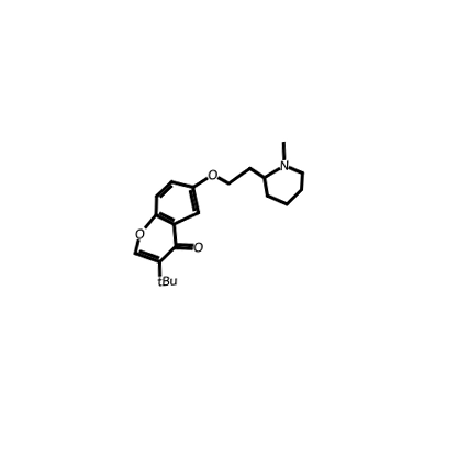 CN1CCCCC1CCOc1ccc2occ(C(C)(C)C)c(=O)c2c1